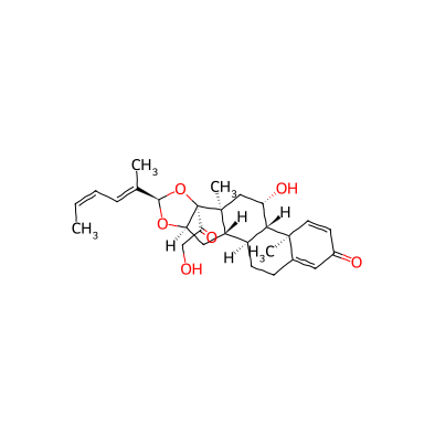 C/C=C\C=C(/C)[C@@H]1O[C@@H]2C[C@H]3[C@@H]4CCC5=CC(=O)C=C[C@]5(C)[C@H]4[C@@H](O)C[C@]3(C)[C@]2(C(=O)CO)O1